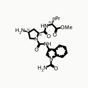 CCC[C@H](NC(=O)[C@@H]1C[C@H](N)CN1C(=O)Nc1cn(C(N)=O)c2ccccc12)C(=O)OC